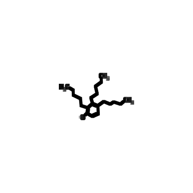 CCCCCc1ccc([O])c(CCCCC)c1CCCCC